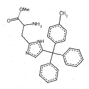 COC(=O)C(N)Cc1ncc(C(c2ccccc2)(c2ccccc2)c2ccc(C)cc2)[nH]1